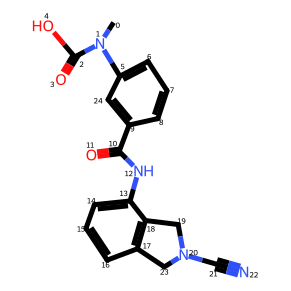 CN(C(=O)O)c1cccc(C(=O)Nc2cccc3c2CN(C#N)C3)c1